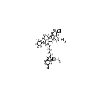 CC[n+]1c(C=C/C(=C\N(c2ccccc2)c2ccccc2)CCC=CC=C2Sc3ccc(I)cc3N2C)sc2ccc(Cl)cc21